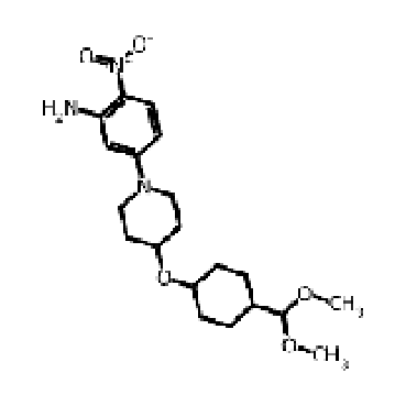 COC(OC)C1CCC(OC2CCN(c3ccc([N+](=O)[O-])c(N)c3)CC2)CC1